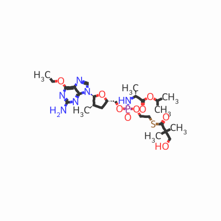 CCOc1nc(N)nc2c1ncn2[C@@H]1O[C@H](CO[P@](=O)(N[C@H](C)C(=O)OC(C)C)OCCSC(=O)C(C)(C)CO)C[C@@H]1C